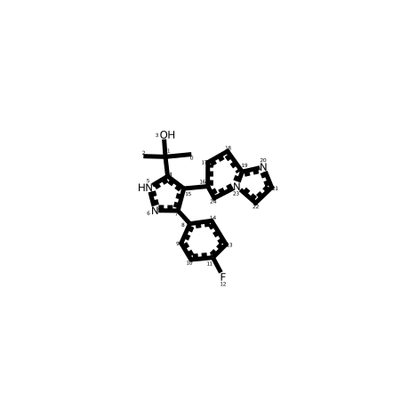 CC(C)(O)c1[nH]nc(-c2ccc(F)cc2)c1-c1ccc2nccn2c1